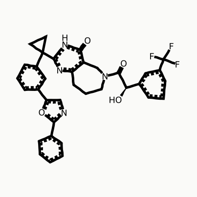 O=C([C@H](O)c1cccc(C(F)(F)F)c1)N1CCCc2nc(C3(c4cccc(-c5cnc(-c6ccccc6)o5)c4)CC3)[nH]c(=O)c2C1